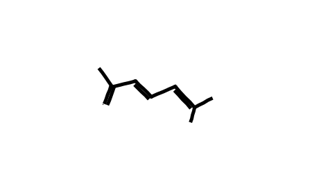 [CH]=C(C)/C=C/C=C(C)C